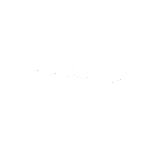 CCCCOC(F)C(F)OCCCC